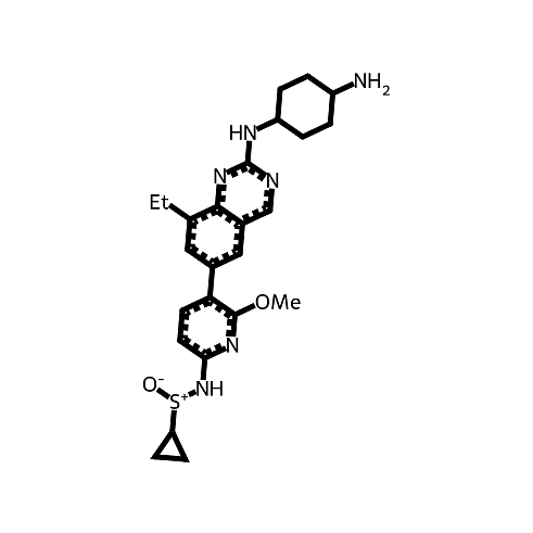 CCc1cc(-c2ccc(N[S+]([O-])C3CC3)nc2OC)cc2cnc(NC3CCC(N)CC3)nc12